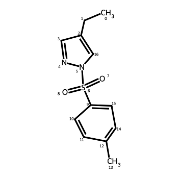 CCc1cnn(S(=O)(=O)c2ccc(C)cc2)c1